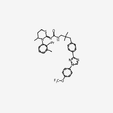 Cc1cccc(N2/C(=N/C(=O)NCC(C)(C)Cc3ccc(-c4ncn(-c5ccc(OC(F)(F)F)cc5)n4)cc3)SCCC2C)c1C(C)C